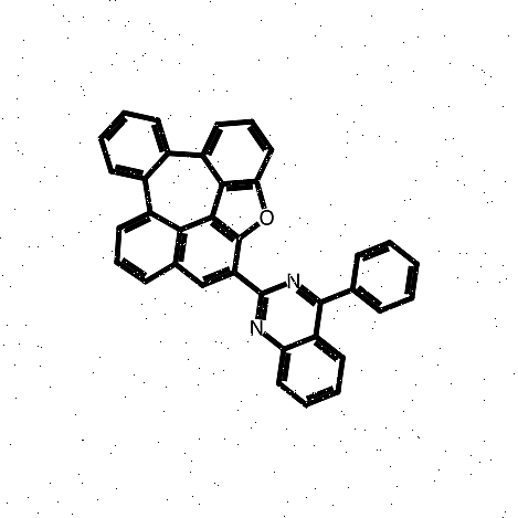 c1ccc(-c2nc(-c3cc4cccc5c4c4c3oc3cccc(c34)-c3ccccc3-5)nc3ccccc23)cc1